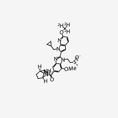 [2H]C([2H])([2H])Oc1ccc2cc(-c3nc4cc(C(=O)N5C[C@H]6CC[C@@H]5[C@@H]6N)cc(OC)c4n3CC[S@+](C)[O-])n(CC3CC3)c2n1